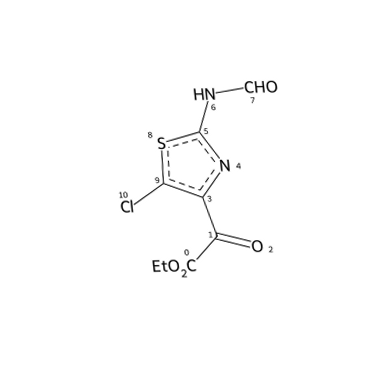 CCOC(=O)C(=O)c1nc(NC=O)sc1Cl